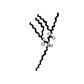 CCCCCCCCCCCCN[C@H](CCC(=O)OCC(CCCCCCCC)CCCCCCCCCC)C(=O)OCC(CCCCCCCC)CCCCCCCCCC